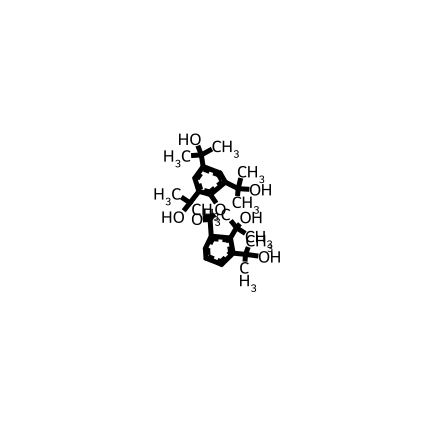 CC(C)(O)c1cc(C(C)(C)O)c(OC(=O)c2cccc(C(C)(C)O)c2C(C)(C)O)c(C(C)(C)O)c1